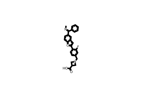 CN=C(c1ccccc1)c1ccc2oc(-c3ccc(CN4CC(C(=O)O)C4)cc3F)cc2c1